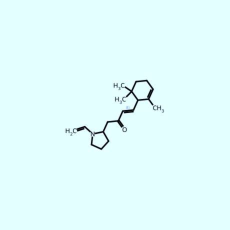 C=CN1CCCC1CC(=O)/C=C/C1C(C)=CCCC1(C)C